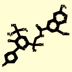 COc1cc(C(=O)NCC(O)(c2cc(C(C)(C)O)c(Cl)c(-c3ccc(F)cc3)n2)C(C)C)cc2cc(C)nnc12